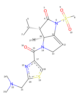 CC(C)[C@@H]1C(=O)N(S(C)(=O)=O)C2=CCN(C(=O)c3csc(CN(C)C)n3)[C@H]21